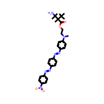 CN(CCOC(=O)C(C)(C(C)(C)C)C(C)(C)N)c1ccc(/N=N/c2ccc(/N=N/c3ccc([N+](=O)[O-])cc3)cc2)cc1